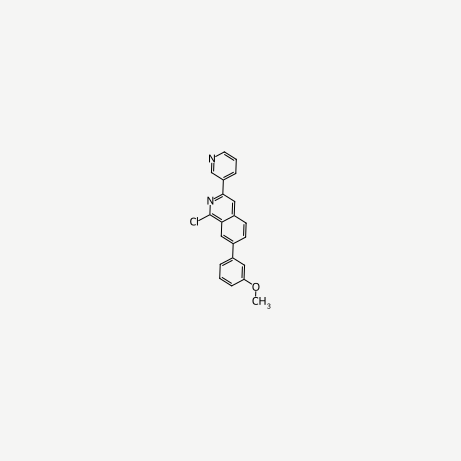 COc1cccc(-c2ccc3cc(-c4cccnc4)nc(Cl)c3c2)c1